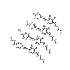 CCCCCOc1ccc(C#CC2CCC(C)CC2)c(F)c1F.CCCCCOc1ccc(C#CC2CCC(CC)CC2)c(F)c1F.CCCCCOc1ccc(C#CC2CCC(CCC)CC2)c(F)c1F.CCCCCOc1ccc(C#CC2CCC(CCCC)CC2)c(F)c1F